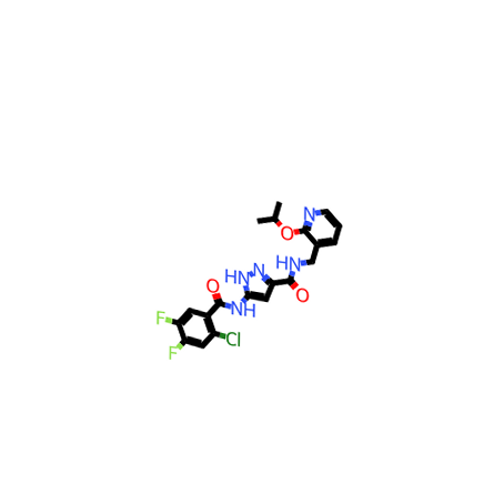 CC(C)Oc1ncccc1CNC(=O)c1cc(NC(=O)c2cc(F)c(F)cc2Cl)[nH]n1